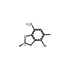 Cc1cc(N)c2c(c1Br)C[C@@H](C)O2